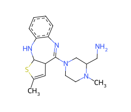 CC1=CC2C(N3CCN(C)C(CN)C3)=Nc3ccccc3NC2S1